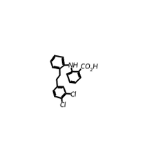 O=C(O)c1ccccc1Nc1ccccc1CCc1ccc(Cl)c(Cl)c1